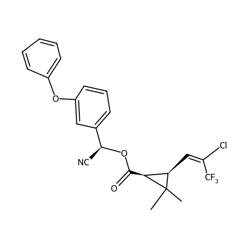 CC1(C)[C@H](/C=C(/Cl)C(F)(F)F)[C@@H]1C(=O)O[C@@H](C#N)c1cccc(Oc2ccccc2)c1